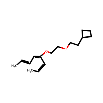 C\C=C/C(=C\C=C\C)OCCOCCC1CCC1